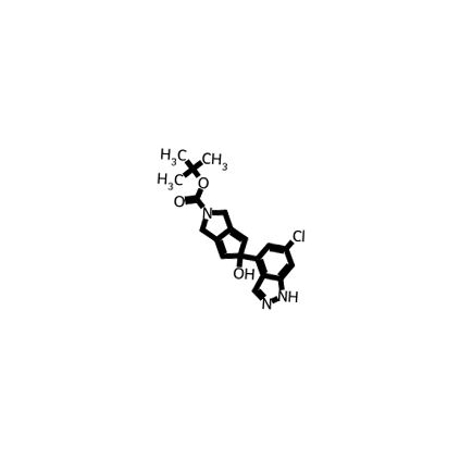 CC(C)(C)OC(=O)N1CC2=CC(O)(c3cc(Cl)cc4[nH]ncc34)C=C2C1